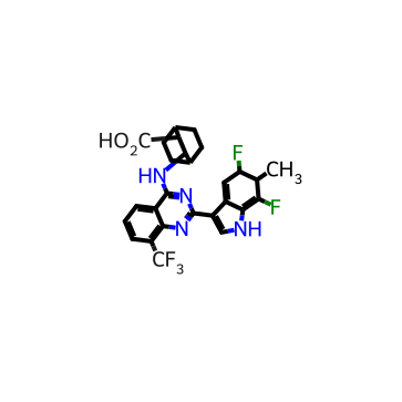 CC1C(F)=c2[nH]cc(-c3nc(NC4C5CCC(CC5)C4C(=O)O)c4cccc(C(F)(F)F)c4n3)c2=CC1F